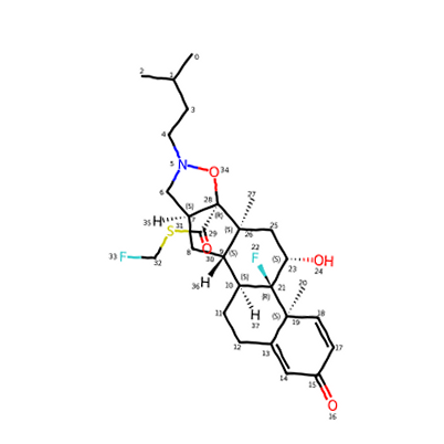 CC(C)CCN1C[C@@H]2C[C@H]3[C@@H]4CCC5=CC(=O)C=C[C@]5(C)[C@@]4(F)[C@@H](O)C[C@]3(C)[C@]2(C(=O)SCF)O1